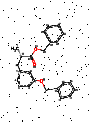 C[C@@H](Cc1cccc(OCc2ccccc2)c1)C(=O)OCc1ccccc1